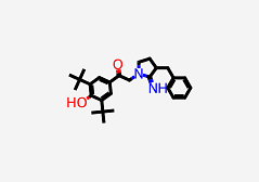 CC(C)(C)c1cc(C(=O)CN2CCC(Cc3ccccc3)C2=N)cc(C(C)(C)C)c1O